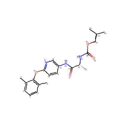 Cc1cccc(C)c1Oc1ccc(NC(=O)[C@@H](C)NC(=O)OCC(C)C)cn1